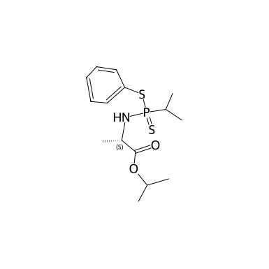 CC(C)OC(=O)[C@H](C)NP(=S)(Sc1ccccc1)C(C)C